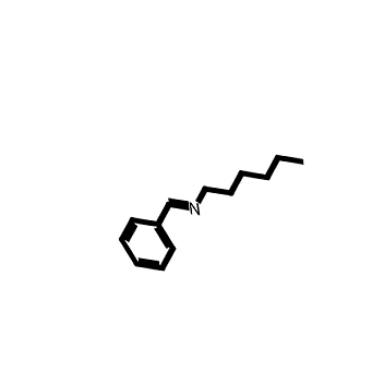 CCCCCCN=Cc1ccccc1